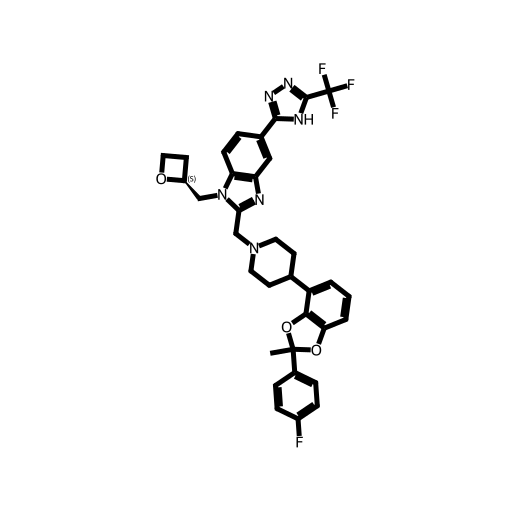 CC1(c2ccc(F)cc2)Oc2cccc(C3CCN(Cc4nc5cc(-c6nnc(C(F)(F)F)[nH]6)ccc5n4C[C@@H]4CCO4)CC3)c2O1